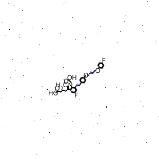 Cc1c(CCCC(=O)O)c2cc(F)cc(/C=C/c3ccc(OC/C=C/COc4ccc(F)cc4)cc3)c2n1CC(=O)O